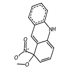 COC1([N+](=O)[O-])C=CC=C2Nc3ccccc3C=C21